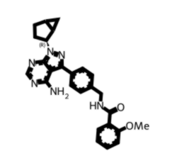 COc1ccccc1C(=O)NCc1ccc(-c2nn([C@@H]3CCC4CC43)c3ncnc(N)c23)cc1